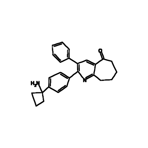 NC1(c2ccc(-c3nc4c(cc3-c3ccccc3)C(=O)CCCC4)cc2)CCC1